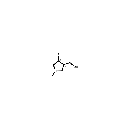 CN1C[C@H](CO)[C@H](F)C1